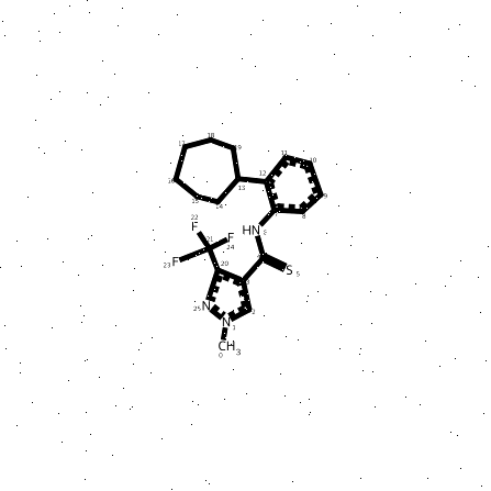 Cn1cc(C(=S)Nc2ccccc2C2CCCCCC2)c(C(F)(F)F)n1